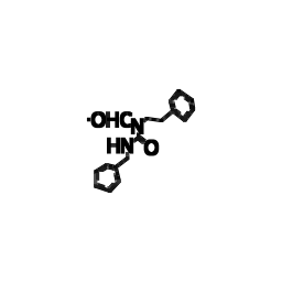 O=[C]N(CCc1ccccc1)C(=O)NCc1ccccc1